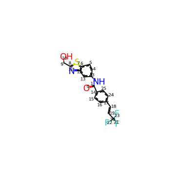 O=C(Nc1ccc2sc(CO)nc2c1)c1ccc(C=CC(F)(F)F)cc1